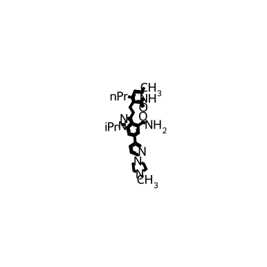 CCCc1cc(C)[nH]c(=O)c1CCc1nn(C(C)C)c2cc(-c3ccc(N4CCN(C)CC4)nc3)cc(C(N)=O)c12